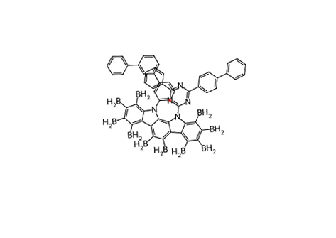 Bc1c(B)c(B)c2c(c1B)c1c(B)c(B)c3c4c(B)c(B)c(B)c(B)c4n(-c4nc(-c5ccccc5)nc(-c5ccc(-c6ccccc6)cc5)n4)c3c1n2-c1cccc(-c2cccc(-c3ccccc3)c2)c1